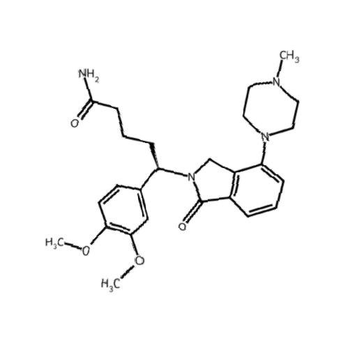 COc1ccc([C@@H](CCCC(N)=O)N2Cc3c(cccc3N3CCN(C)CC3)C2=O)cc1OC